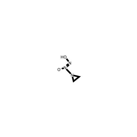 [O-][N+](=NO)N1CC1